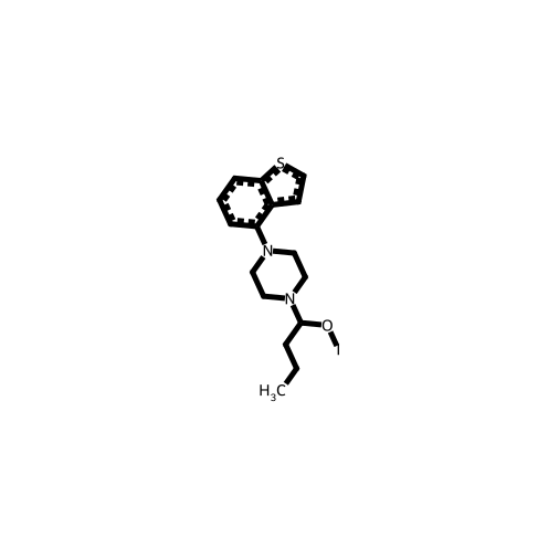 CCCC(OI)N1CCN(c2cccc3sccc23)CC1